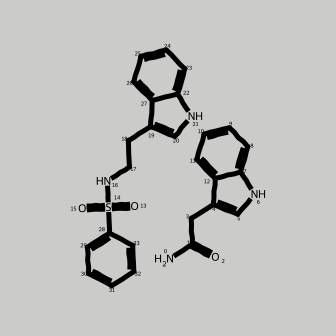 NC(=O)Cc1c[nH]c2ccccc12.O=S(=O)(NCCc1c[nH]c2ccccc12)c1ccccc1